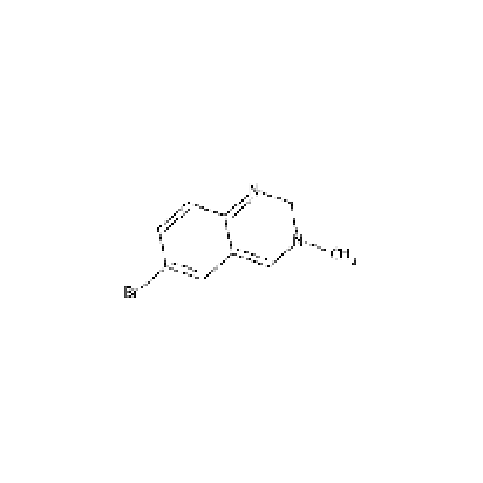 CN1C=c2cc(Br)ccc2=NC1